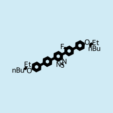 CCCCC(CC)Oc1ccc(-c2ccc(-c3ccc(-c4ccc(-c5ccc(OC(CC)CCCC)cc5)cc4F)c4nsnc34)cc2)cc1